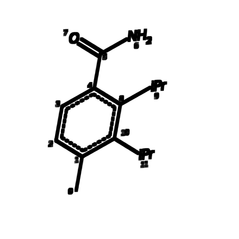 Cc1ccc(C(N)=O)c(C(C)C)c1C(C)C